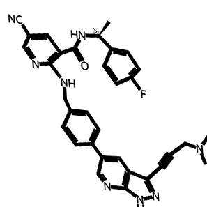 C[C@H](NC(=O)c1cc(C#N)cnc1NCc1ccc(-c2cnc3[nH]nc(C#CCN(C)C)c3c2)cc1)c1ccc(F)cc1